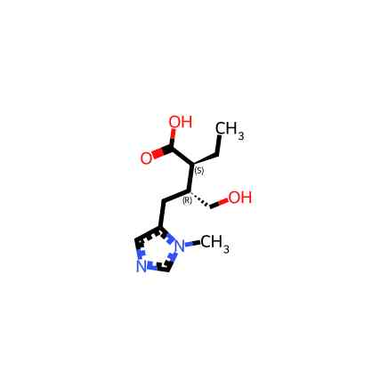 CC[C@H](C(=O)O)[C@H](CO)Cc1cncn1C